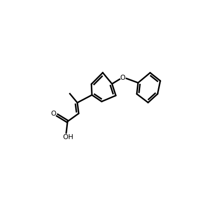 CC(=CC(=O)O)c1ccc(Oc2ccccc2)cc1